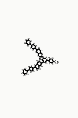 N#Cc1ccc(-c2cc3c4cc5ccc(-c6ccc(-c7ccccc7)cc6)cc5cc4n4c5cc6cc(-c7ccc(-c8ccccc8)cc7)ccc6cc5c(c2)c34)cc1